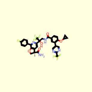 C[C@]1(C(N)=O)COc2c1cc(C(O)(CNC(=O)c1ccc(OC3CC3)c(-c3cnc(C(F)(F)F)nc3)c1)C(F)(F)F)nc2-c1ccc(F)cc1